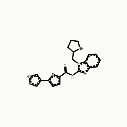 O=C(Nc1nc2ccccc2n1CC1CCCN1)c1ccc(-c2cn[nH]c2)s1